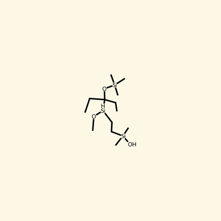 CCC(CC)(O[Si](C)(C)C)[SiH](CC[Si](C)(C)O)OC